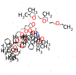 C=CCOC/C=C/[C@H]1CC(=C)[C@H](CC[C@H]2C[C@@H](C)C(=C)[C@@H](C[C@@H]3O[C@H](C[C@H]4CN(C(=O)OC(C)(C)C)C(C)(C)O4)[C@H](OC)[C@H]3CC(=O)C[C@H]3CC[C@@H]4O[C@@H]5[C@@H](O[C@H](CC(C=C)O[Si](CC)(CC)CC)[C@@H]5O[Si](c5ccccc5)(c5ccccc5)C(C)(C)C)[C@@H](O[Si](c5ccccc5)(c5ccccc5)C(C)(C)C)[C@H]4O3)O2)O1